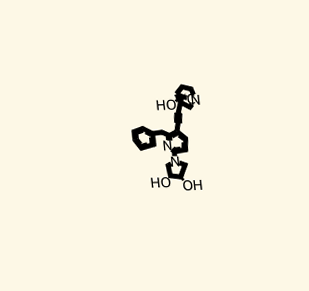 O[C@@H]1CN(c2ccc(C#C[C@@]3(O)CN4CCC3CC4)c(Cc3ccccc3)n2)C[C@H]1O